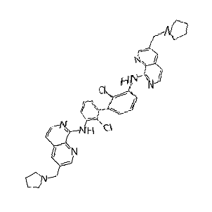 Clc1c(Nc2nccc3cc(CN4CCCC4)cnc23)cccc1-c1cccc(Nc2nccc3cc(CN4CCCC4)cnc23)c1Cl